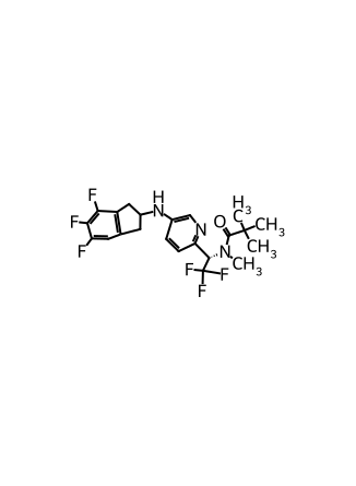 CN(C(=O)C(C)(C)C)[C@@H](c1ccc(NC2Cc3cc(F)c(F)c(F)c3C2)cn1)C(F)(F)F